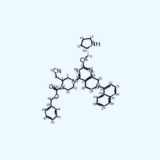 N#CCC1CN(c2nc(OC[C@@H]3CCCN3)nc3c2CCN(c2cccc4ccccc24)C3)CCN1C(=O)OCc1ccccc1